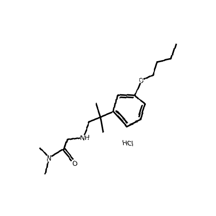 CCCCOc1cccc(C(C)(C)CNCC(=O)N(C)C)c1.Cl